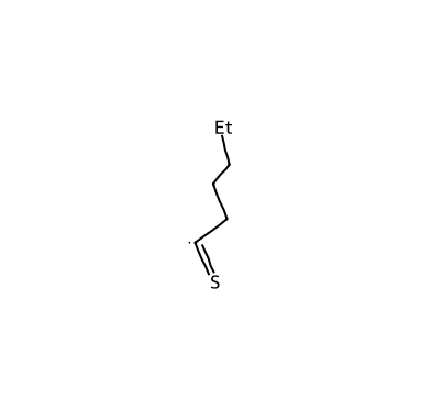 CCCCC[C]=S